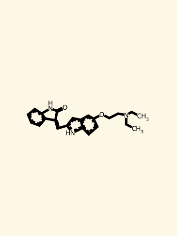 CCN(CC)CCOc1ccc2[nH]c(C=C3C(=O)Nc4ccccc43)cc2c1